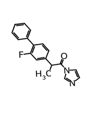 CC(C(=O)n1ccnc1)c1ccc(-c2ccccc2)c(F)c1